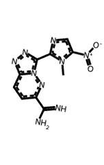 Cn1c([N+](=O)[O-])cnc1-c1nnc2ccc(C(=N)N)nn12